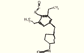 CCc1cc(CC2CCC(N=C=O)CC2)cc(CC)c1N=C=O